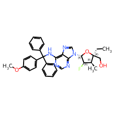 CC[C@@]1(CO)O[C@@H](n2cnc3c(NC(c4ccccc4)(c4ccccc4)c4ccc(OC)cc4)ncnc32)[C@H](F)[C@@H]1C